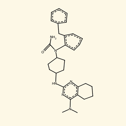 CN(C)c1nc(NC2CCC(N(C(N)=O)c3ccccc3Cc3ccccc3)CC2)nc2c1CCCC2